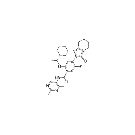 Cc1ncc(NC(=O)c2cc(F)c(-n3nc4n(c3=O)CCCC4)cc2OC(C)C2CCCCC2)c(C)n1